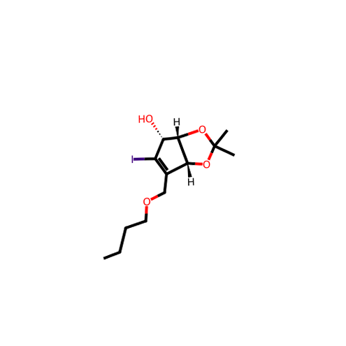 CCCCOCC1=C(I)[C@H](O)[C@@H]2OC(C)(C)O[C@H]12